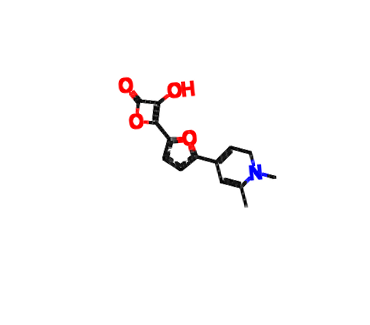 CC1=CC(c2ccc(C3=C(O)C(=O)O3)o2)=CCN1C